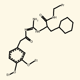 CCOc1ccc(CC(=O)N=C(N)NC(CC2CCCCC2)C(=O)NCC(C)C)cc1OCC